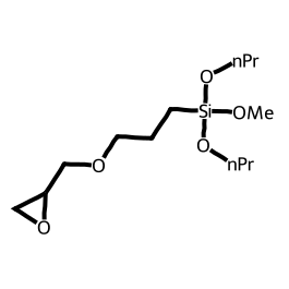 CCCO[Si](CCCOCC1CO1)(OC)OCCC